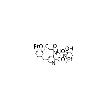 CCOC(=O)CC(=O)N(CCN1CCCCS1(O)O)c1cc(Cc2ccc(F)cc2)cnc1C(=O)OCC